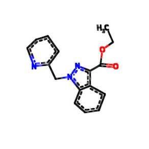 CCOC(=O)c1nn(Cc2ccccn2)c2ccccc12